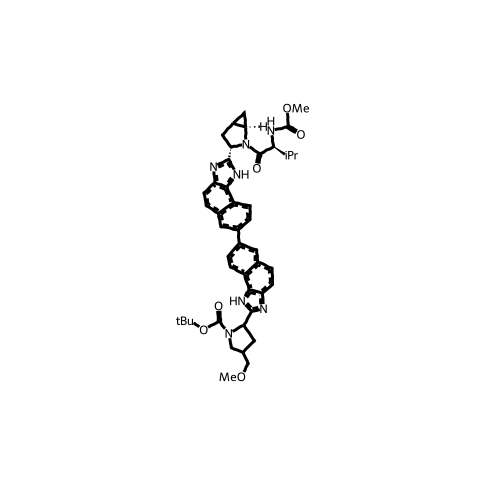 COCC1CC(c2nc3ccc4cc(-c5ccc6c(ccc7nc([C@@H]8CC9C[C@H]9N8C(=O)[C@@H](NC(=O)OC)C(C)C)[nH]c76)c5)ccc4c3[nH]2)N(C(=O)OC(C)(C)C)C1